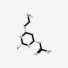 C[C@@H]1O[C@H](CCN)C[C@H](CC(=O)O)O1